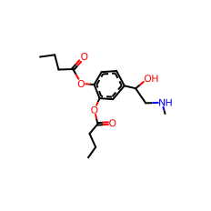 CCCC(=O)Oc1ccc(C(O)CNC)cc1OC(=O)CCC